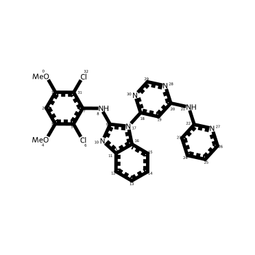 COc1cc(OC)c(Cl)c(Nc2nc3ccccc3n2-c2cc(Nc3ccccn3)ncn2)c1Cl